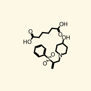 C=C(CN1CCC(O)CC1)S(=O)(=O)c1ccccc1.O=C(O)CCCCC(=O)O